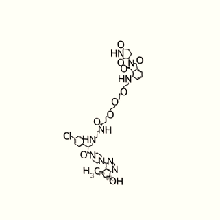 C[C@@H]1C[C@@H](O)c2ncnc(N3CCN(C(=O)C(CNCCNC(=O)CCOCCOCCOCCNc4cccc5c4C(=O)N(C4CCC(=O)NC4=O)C5=O)c4ccc(Cl)cc4)CC3)c21